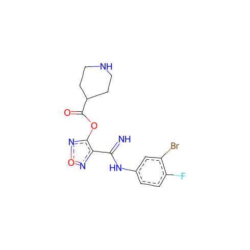 N=C(Nc1ccc(F)c(Br)c1)c1nonc1OC(=O)C1CCNCC1